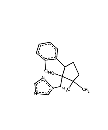 CC1(C)CCC(c2ccccc2Cl)C1(O)Cn1cncn1